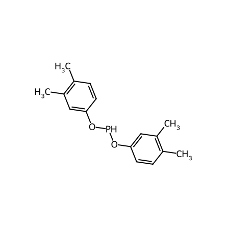 Cc1ccc(OPOc2ccc(C)c(C)c2)cc1C